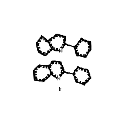 [Ir].c1ccc(-c2ccc3ccccc3n2)cc1.c1ccc(-c2ccc3ccccc3n2)cc1